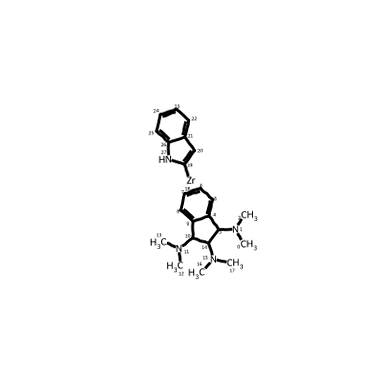 CN(C)C1c2ccccc2C(N(C)C)C1N(C)C.[Zr][c]1cc2ccccc2[nH]1